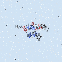 CCOC(=O)N1CCN(C(=O)[C@H](CCC(=O)OC(C)(C)C)NC(=O)c2cc(-n3cncn3)nc(-c3ccccc3)n2)CC1